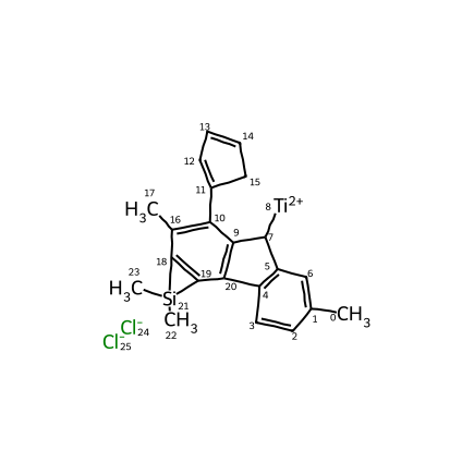 Cc1ccc2c(c1)[CH]([Ti+2])c1c(C3=CC=CC3)c(C)c3c(c1-2)[Si]3(C)C.[Cl-].[Cl-]